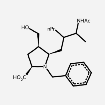 CCCC(C[C@@H]1[C@H](CO)C[C@H](C(=O)O)N1Cc1ccccc1)C(C)NC(C)=O